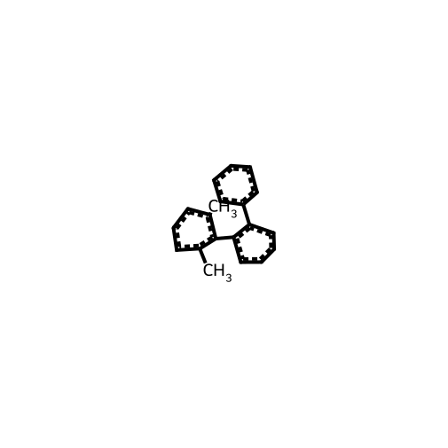 Cc1cccc(C)c1-c1ccccc1-c1ccccc1